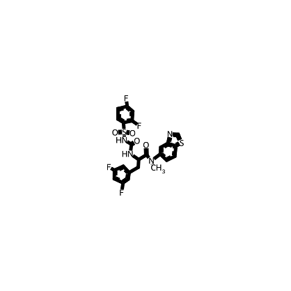 CN(C(=O)C(Cc1cc(F)cc(F)c1)NC(=O)NS(=O)(=O)c1ccc(F)cc1F)c1ccc2scnc2c1